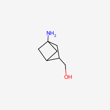 NC12CC(CO)C(C1)C2